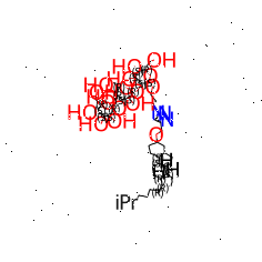 CC(C)CCC[C@@H](C)[C@H]1CC[C@H]2[C@@H]3CCC4CC(OCc5cn(CCCO[C@H]6O[C@H](CO)[C@@H](O)[C@H](O)[C@@H]6O[C@H]6O[C@H](CO)[C@@H](O)[C@H](O[C@H]7O[C@H](CO)[C@@H](O)[C@H](O)[C@@H]7O)[C@@H]6O)nn5)CC[C@]4(C)[C@H]3CC[C@]12C